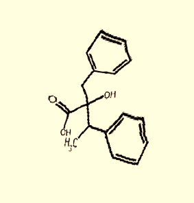 CC(c1ccccc1)C(O)(Cc1ccccc1)C(=O)O